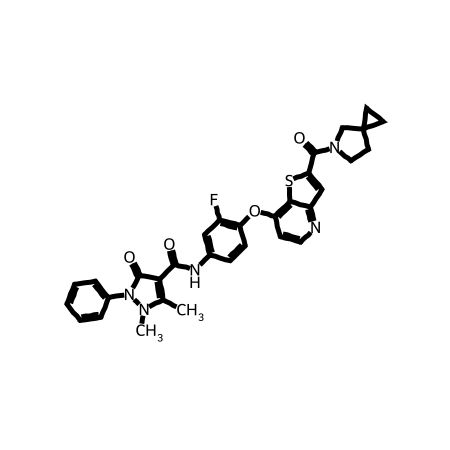 Cc1c(C(=O)Nc2ccc(Oc3ccnc4cc(C(=O)N5CCC6(CC6)C5)sc34)c(F)c2)c(=O)n(-c2ccccc2)n1C